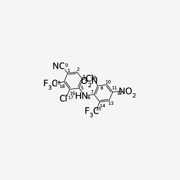 N#Cc1cc(Cl)c(Nc2c([N+](=O)[O-])cc([N+](=O)[O-])cc2C(F)(F)F)c(Cl)c1C(F)(F)F